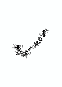 CC(C)(C)NCCNC(=O)c1ccc(Cn2cc(CCCCC#CC3CN([C@H]4CC(OC(C)(C)C)C(COP(=O)(O)OC(C)(C)C)O4)C(=N)NC3=O)nn2)nc1